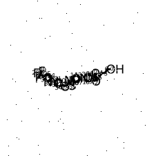 O=S(=O)(CCCCO)N1CCN(c2ccc3nc(OC4CCN(c5ccc(C(F)(F)F)cn5)CC4)sc3c2)CC1